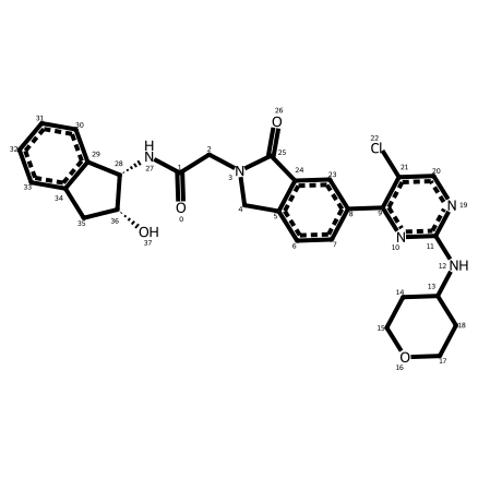 O=C(CN1Cc2ccc(-c3nc(NC4CCOCC4)ncc3Cl)cc2C1=O)N[C@H]1c2ccccc2C[C@H]1O